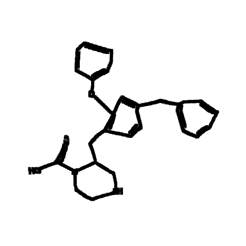 O=C(O)N1CCNCC1Cc1ccc(Cc2ccccc2)cc1Oc1ccccc1